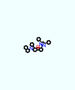 c1ccc(-c2cc(-c3ccccc3)nc(-c3cccc4c3oc3c4ccc4c3c3ccccc3n4-c3cccc4ccccc34)n2)cc1